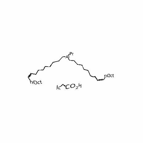 CC(=O)CC(=O)O.CCCCCCCC/C=C\CCCCCCC[CH2][Al]([CH2]CCCCCCC/C=C\CCCCCCCC)[CH](C)C